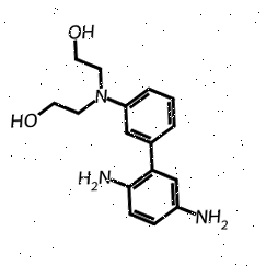 Nc1ccc(N)c(-c2cccc(N(CCO)CCO)c2)c1